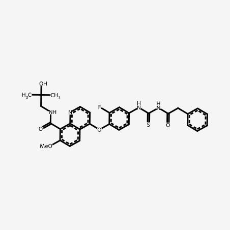 COc1ccc2c(Oc3ccc(NC(=S)NC(=O)Cc4ccccc4)cc3F)ccnc2c1C(=O)NCC(C)(C)O